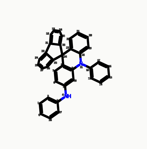 c1ccc(Nc2ccc3c(c2)N(c2ccccc2)c2ccccc2C32c3ccccc3-c3ccccc32)cc1